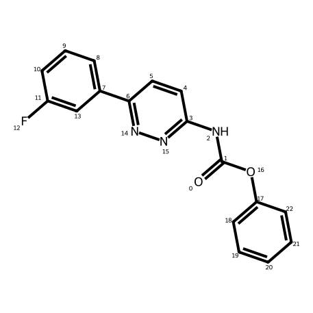 O=C(Nc1ccc(-c2cccc(F)c2)nn1)Oc1ccccc1